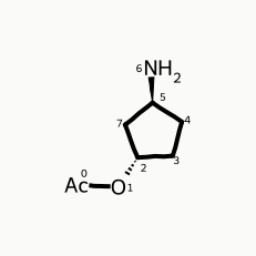 CC(=O)O[C@H]1CC[C@H](N)C1